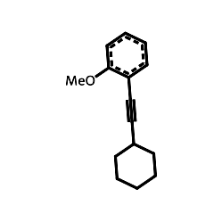 COc1ccccc1C#CC1CCCCC1